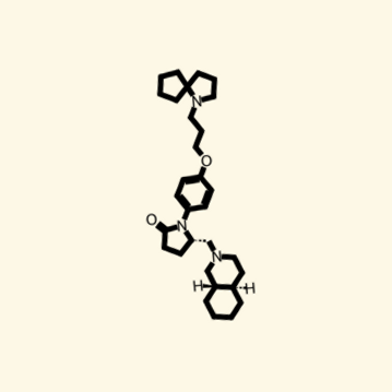 O=C1CC[C@@H](CN2CC[C@H]3CCCC[C@@H]3C2)N1c1ccc(OCCCN2CCCC23CCCC3)cc1